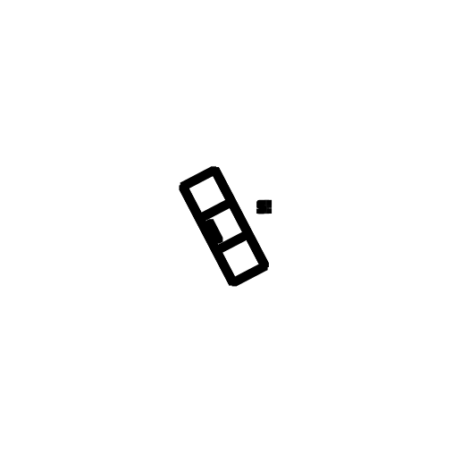 C12=C3C4C1C1C2C3C41.[Si]